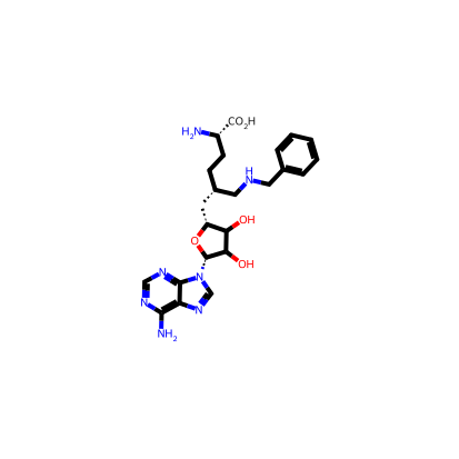 Nc1ncnc2c1ncn2[C@@H]1O[C@H](C[C@H](CC[C@H](N)C(=O)O)CNCc2ccccc2)C(O)C1O